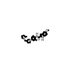 COc1ccc2[nH]c(C(=O)Nc3ccc(N4CCC(CN5CCCC5C)C4)cc3C)cc2c1